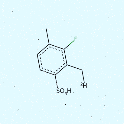 [2H]Cc1c(S(=O)(=O)O)ccc(C)c1F